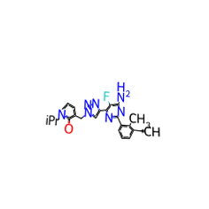 C#Cc1cccc(-c2nc(N)c(F)c(-c3cn(Cc4cccn(C(C)C)c4=O)nn3)n2)c1C